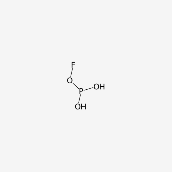 OP(O)OF